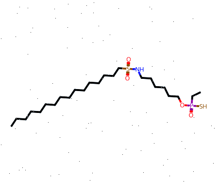 CCCCCCCCCCCCCCCCS(=O)(=O)NCCCCCCOP(=O)(S)CC